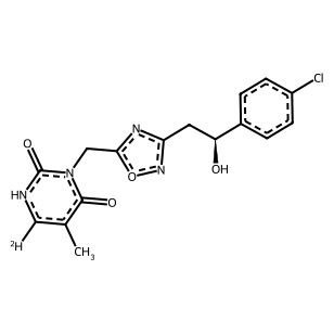 [2H]c1[nH]c(=O)n(Cc2nc(C[C@H](O)c3ccc(Cl)cc3)no2)c(=O)c1C